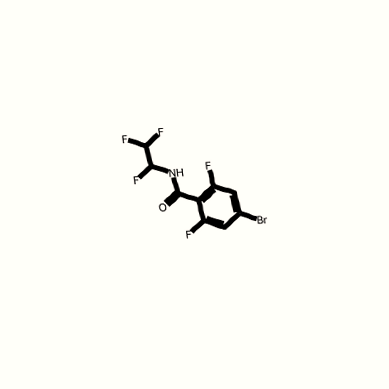 O=C(NC(F)C(F)F)c1c(F)cc(Br)cc1F